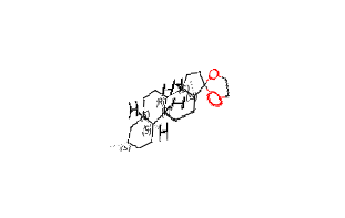 C[C@H]1CC[C@H]2[C@@H](CC[C@@H]3[C@@H]2CC[C@@]2(C)[C@H]3CCC23OCCO3)C1